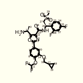 C[C@H](N)c1oc(-c2ccc(OC(F)F)c(OCC3CC3)c2)nc1C(=O)N[C@@H](CS(C)(=O)=O)c1ccc(F)cc1F